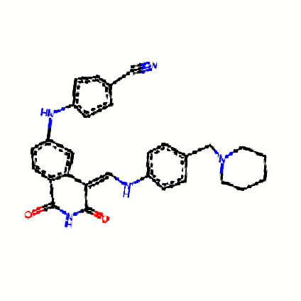 N#Cc1ccc(Nc2ccc3c(c2)/C(=C/Nc2ccc(CN4CCCCC4)cc2)C(=O)NC3=O)cc1